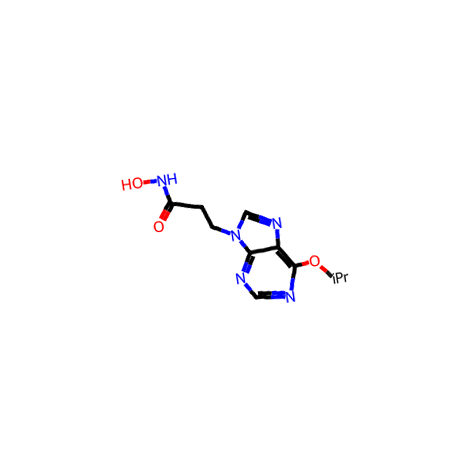 CC(C)Oc1ncnc2c1ncn2CCC(=O)NO